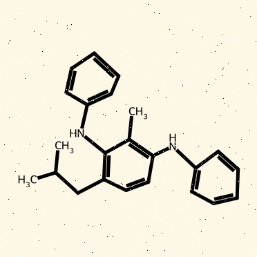 Cc1c(Nc2ccccc2)ccc(CC(C)C)c1Nc1ccccc1